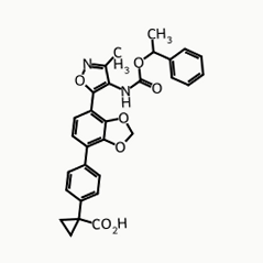 Cc1noc(-c2ccc(-c3ccc(C4(C(=O)O)CC4)cc3)c3c2OCO3)c1NC(=O)OC(C)c1ccccc1